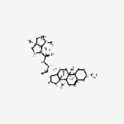 CC[C@@H]1NC[C@@H]2CON(C(=O)CCC(C)[C@H]3CC[C@H]4[C@@H]5CC=C6C[C@@H](O)CC[C@]6(C)[C@H]5CC[C@]34C)[C@@H]21